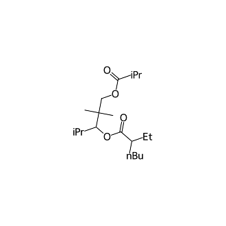 CCCCC(CC)C(=O)OC(C(C)C)C(C)(C)COC(=O)C(C)C